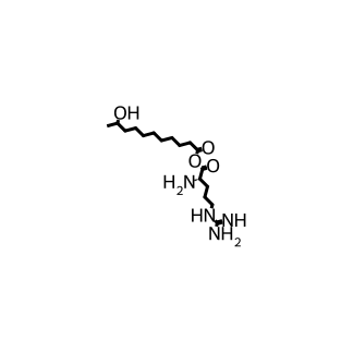 CC(O)CCCCCCCCC(=O)OC(=O)[C@@H](N)CCCNC(=N)N